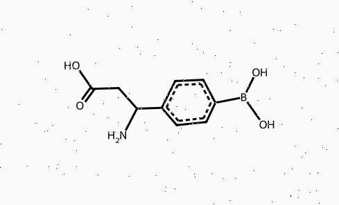 NC(CC(=O)O)c1ccc(B(O)O)cc1